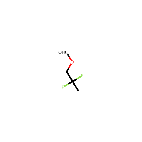 CC(F)(F)COC=O